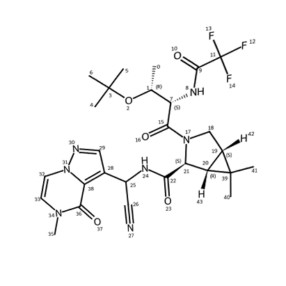 C[C@@H](OC(C)(C)C)[C@H](NC(=O)C(F)(F)F)C(=O)N1C[C@H]2[C@@H]([C@H]1C(=O)NC(C#N)c1cnn3ccn(C)c(=O)c13)C2(C)C